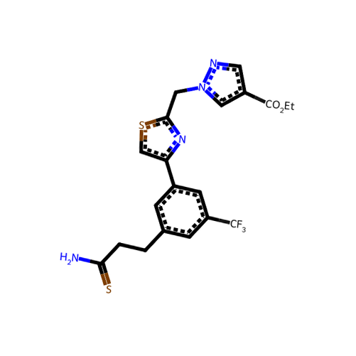 CCOC(=O)c1cnn(Cc2nc(-c3cc(CCC(N)=S)cc(C(F)(F)F)c3)cs2)c1